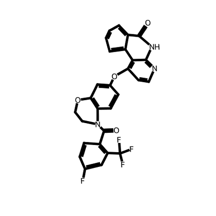 O=C(c1ccc(F)cc1C(F)(F)F)N1CCOc2cc(Oc3ccnc4[nH]c(=O)c5ccccc5c34)ccc21